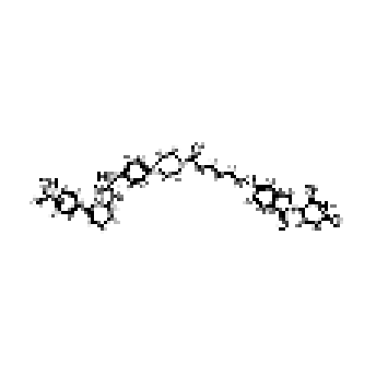 C[S+]([O-])c1ccc(C2=CCCc3nc(Nc4ccc(N5CCN(C(=O)CCCCCOc6ccc7c(c6)CN(C6CCC(=O)NC6=O)C7=O)CC5)cc4)nn32)cc1